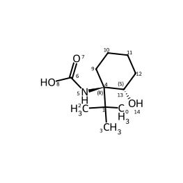 CC(C)(C)[C@]1(NC(=O)O)CCCC[C@@H]1O